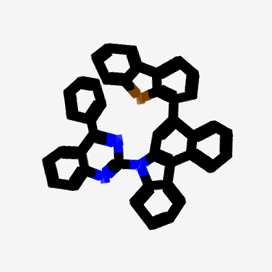 c1ccc(-c2nc(-n3c4ccccc4c4c5ccccc5c(-c5cccc6c5sc5ccccc56)cc43)nc3ccccc23)cc1